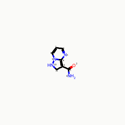 NC(=O)C1=C2N=CC=CN2NC1